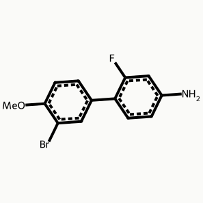 COc1ccc(-c2ccc(N)cc2F)cc1Br